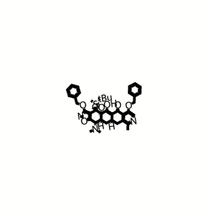 Cc1ncc(OCc2ccccc2)c2c1C[C@H]1C[C@H]3[C@H](N(C)C)c4onc(OCc5ccccc5)c4C(=O)[C@@]3(O[Si](C)(C)C(C)(C)C)C(O)=C1C2=O